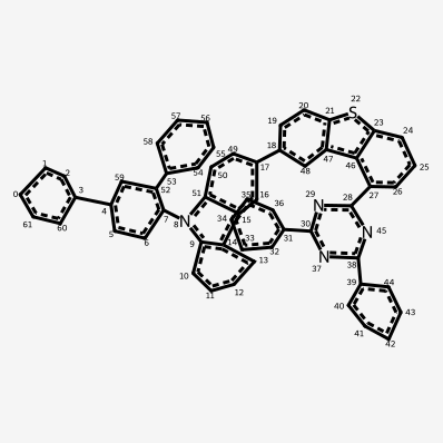 c1ccc(-c2ccc(-n3c4ccccc4c4cc(-c5ccc6sc7cccc(-c8nc(-c9ccccc9)nc(-c9ccccc9)n8)c7c6c5)ccc43)c(-c3ccccc3)c2)cc1